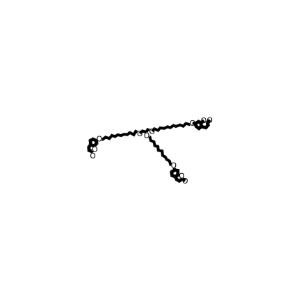 O=c1ccc2ccc(OCCCCCCCCCCCCOCC(COCCCCCCCCCCCCOc3ccc4ccc(=O)oc4c3)OCCCCCCCCCCCCOc3ccc4ccc(=O)oc4c3)cc2o1